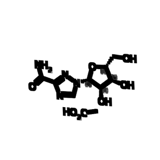 CC(=O)O.NC(=O)c1ncn([C@@H]2O[C@H](CO)[C@@H](O)[C@H]2O)n1